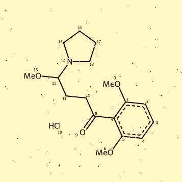 COc1cccc(OC)c1C(=O)CCC(OC)N1CCCC1.Cl